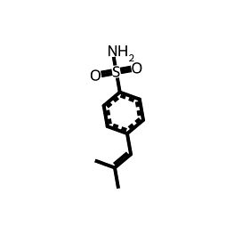 CC(C)=Cc1ccc(S(N)(=O)=O)cc1